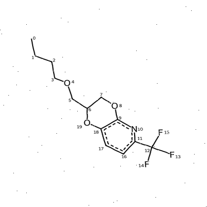 CCCCOCC1COc2nc(C(F)(F)F)ccc2O1